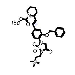 CC(C)(C)OC(=O)N1CCCCC1/C=C/c1ccc(N2CC(=O)N(CC[Si](C)(C)C)S2(=O)=O)c(OCc2ccccc2)c1